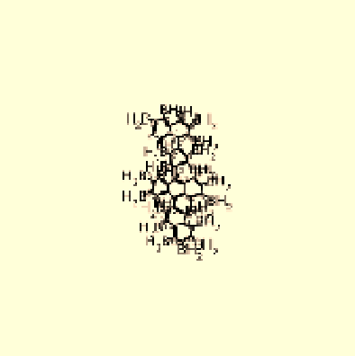 Bc1cc(B)c2c(-c3c(B)c(B)c(-c4c5c(B)c(B)c(B)c(B)c5c(-c5c(B)c(B)c6c(B)c(B)c(B)c(B)c6c5B)c5c(B)c(B)c(B)c(B)c45)c(B)c3B)c(B)c(B)c(B)c2c1B